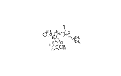 Cc1c(Cl)cc2[nH]ncc2c1-c1c(Cl)cc2c(nc(OC[C@@H]3CCCN3C)c3cnn([C@H]4CCN(C(=O)/C=C/CN(C)C)[C@H](CC#N)C4)c32)c1F